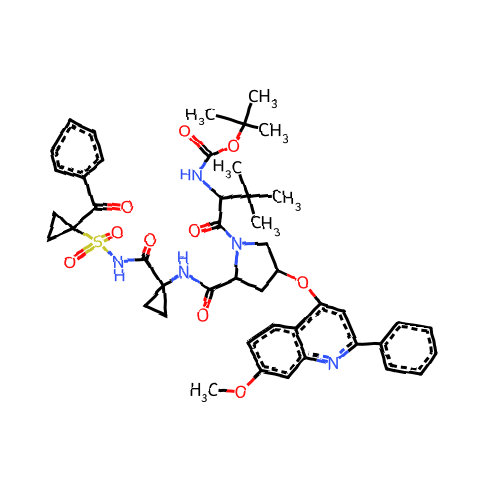 COc1ccc2c(OC3CC(C(=O)NC4(C(=O)NS(=O)(=O)C5(C(=O)c6ccccc6)CC5)CC4)N(C(=O)C(NC(=O)OC(C)(C)C)C(C)(C)C)C3)cc(-c3ccccc3)nc2c1